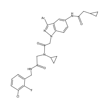 CC(=O)c1nn(CC(=O)N(CC(=O)NCc2cccc(Cl)c2F)C2CC2)c2ccc(NC(=O)CC3CC3)cc12